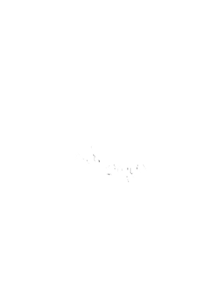 CCOC(=O)C1CSCCN1Cc1ccc(OCc2nc(-c3cccs3)oc2C)cc1